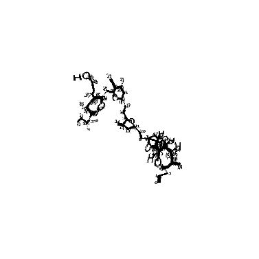 C=CC[C@@H]1O[C@H]2[C@H]3O[C@]4(CC[C@H]5CC(=C)C(CC[C@H]6C[C@@H](C)C(=C)C(C[C@@H]7O[C@H](C[C@H](C)CC)[C@H](C)[C@H]7CCO)O6)O5)C[C@H]3O[C@H]2[C@@H](O4)C1C